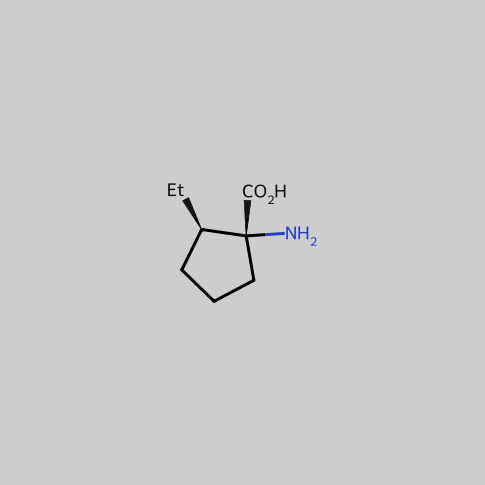 CC[C@@H]1CCC[C@]1(N)C(=O)O